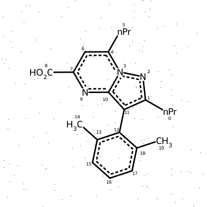 CCCc1nn2c(CCC)cc(C(=O)O)nc2c1-c1c(C)cccc1C